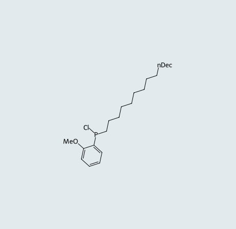 CCCCCCCCCCCCCCCCCCCP(Cl)c1ccccc1OC